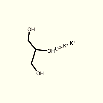 OCC(O)CO.[K+].[K+].[O-2]